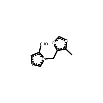 Cc1ncoc1Cn1cncc1C=O